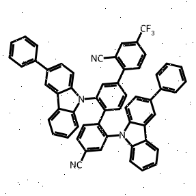 N#Cc1ccc(-c2ccc(-c3ccc(C(F)(F)F)cc3C#N)cc2-n2c3ccccc3c3cc(-c4ccccc4)ccc32)c(-n2c3ccccc3c3cc(-c4ccccc4)ccc32)c1